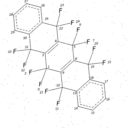 FC1(F)C2=C(C(F)(F)C3=C1C(F)(F)c1ccccc1C3(F)F)C(F)(F)c1ccccc1C2(F)F